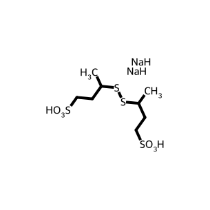 CC(CCS(=O)(=O)O)SSC(C)CCS(=O)(=O)O.[NaH].[NaH]